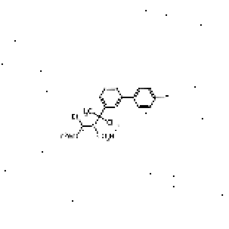 CCCCCC(CC)N(C(=O)O)C(C)(C)c1cccc(-c2ccc(F)cc2)c1